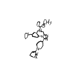 COC(=O)N1Cc2cc(Cl)ccc2-n2c(nnc2C2CCN(c3cccnn3)CC2)C1